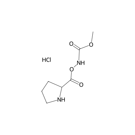 COC(=O)NOC(=O)C1CCCN1.Cl